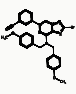 COc1ccc(CN(Cc2ccc(OC)cc2)c2nc(-c3cccc(C#N)c3)cn3nc(Br)nc23)cc1